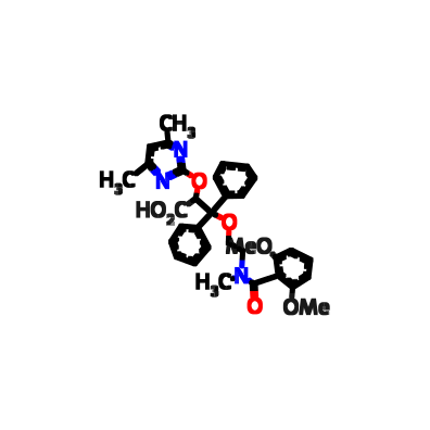 COc1cccc(OC)c1C(=O)N(C)CCOC(c1ccccc1)(c1ccccc1)C(Oc1nc(C)cc(C)n1)C(=O)O